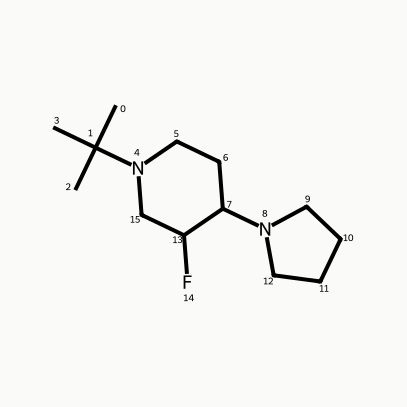 CC(C)(C)N1CCC(N2CCCC2)C(F)C1